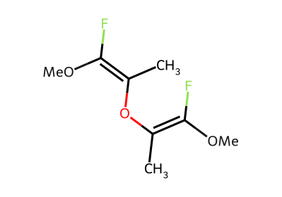 COC(F)=C(C)OC(C)=C(F)OC